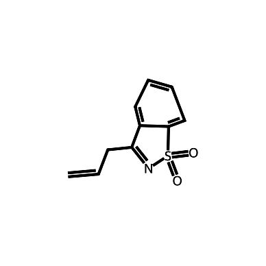 C=CCC1=NS(=O)(=O)c2ccccc21